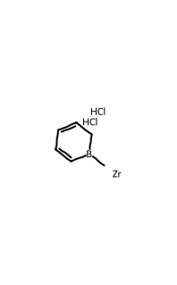 CB1C=CC=CC1.Cl.Cl.[Zr]